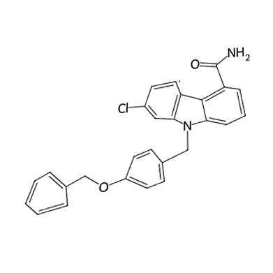 NC(=O)c1cccc2c1c1[c]cc(Cl)cc1n2Cc1ccc(OCc2ccccc2)cc1